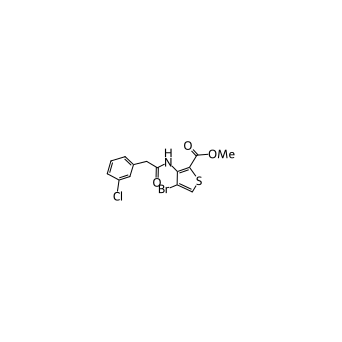 COC(=O)c1scc(Br)c1NC(=O)Cc1cccc(Cl)c1